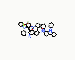 N#Cc1cc(C(F)(F)F)ccc1-c1cccc(-n2c3ccccc3c3c2ccc2c4ccccc4n(-c4ccccc4)c23)c1-c1c(C#N)cccc1-n1c2ccccc2c2c1ccc1c3ccccc3n(-c3ccccc3)c12